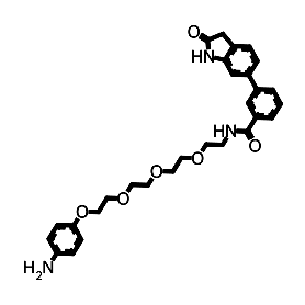 Nc1ccc(OCCOCCOCCOCCNC(=O)c2cccc(-c3ccc4c(c3)NC(=O)C4)c2)cc1